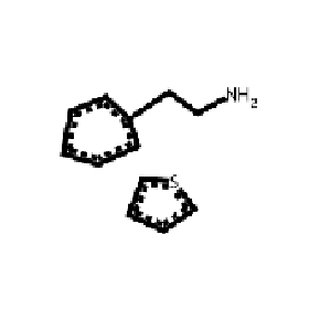 NCCc1ccccc1.c1ccsc1